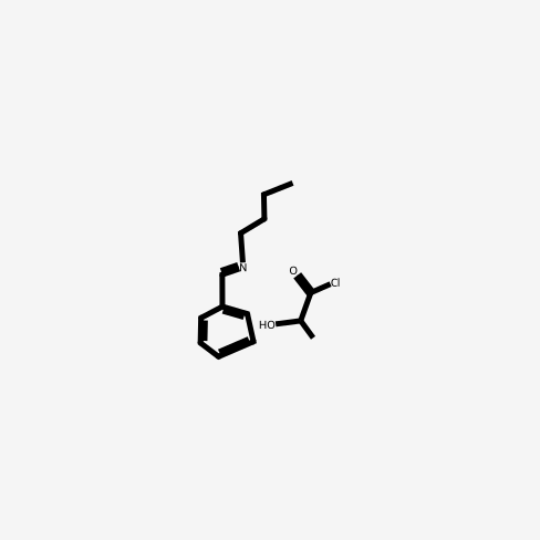 CC(O)C(=O)Cl.CCCC/N=C/c1ccccc1